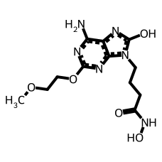 COCCOc1nc(N)c2nc(O)n(CCCC(=O)NO)c2n1